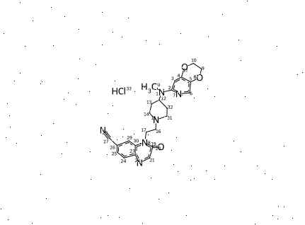 CN(c1cc2c(cn1)OCCO2)C1CCN(CCn2c(=O)cnc3ccc(C#N)cc32)CC1.Cl